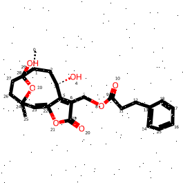 C[C@@H]1C[C@H](O)C2=C(COC(=O)CCc3ccccc3)C(=O)OC2=CC2(C)CCC1(O)O2